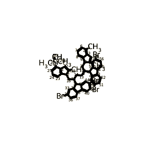 CC1=Cc2c(C)cccc2C1CC(CCC(CC1C(C)=Cc2c1cccc2[Si](C)(C)C)C1c2cc(Br)ccc2-c2ccc(Br)cc21)C1c2cc(Br)ccc2-c2ccc(Br)cc21